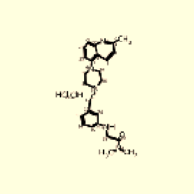 Cc1ccc2c(N3CCN(CCc4cccc(NCC(=O)N(C)C)c4)CC3)cccc2n1.Cl.Cl